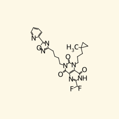 CC1(CCCn2c(=O)n(CCCCc3noc(-c4ccccn4)n3)c(=O)c3nc(C(F)F)[nH]c(=O)c32)CC1